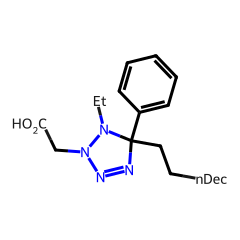 CCCCCCCCCCCCC1(c2ccccc2)N=NN(CC(=O)O)N1CC